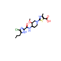 CCCc1[nH]c(C(=O)NC2CCN(c3nc(C)c(C(=O)O)s3)CC2OC)nc1Cl